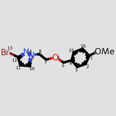 COc1ccc(COCCn2ccc(Br)n2)cc1